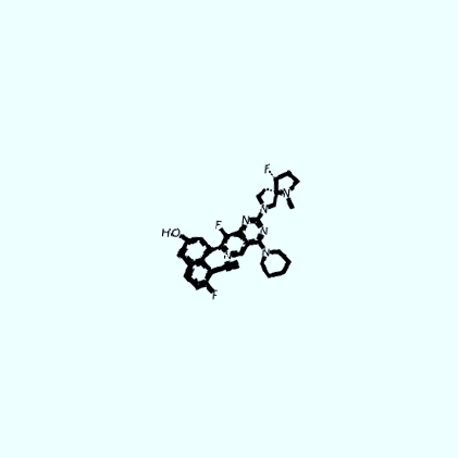 C#Cc1c(F)ccc2cc(O)cc(-c3ncc4c(N5CCCCC5)nc(N5CC[C@]6(C5)[C@H](F)CCN6C)nc4c3F)c12